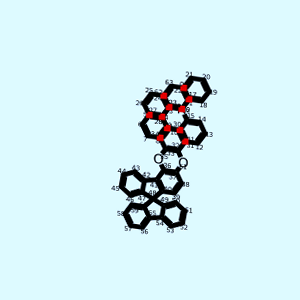 c1ccc(-c2ccccc2-c2ccccc2N(c2ccccc2)c2ccccc2-c2ccc3c(c2)Oc2c(ccc4c2-c2ccccc2C42c4ccccc4-c4ccccc42)O3)cc1